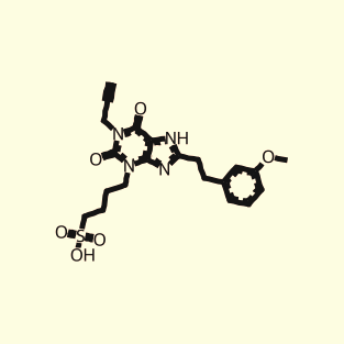 C#CCn1c(=O)c2[nH]c(CCc3cccc(OC)c3)nc2n(CCCCS(=O)(=O)O)c1=O